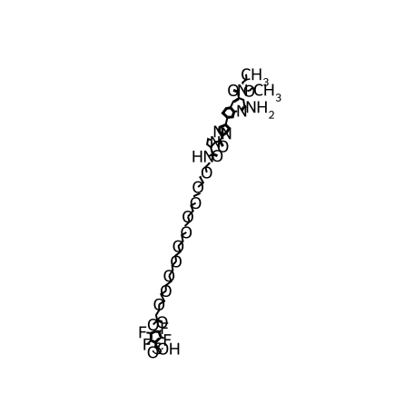 CCCN(OCC)C(=O)C1=Cc2ccc(-c3cnc(C(=O)N4CCC4C(=O)NCCOCCOCCOCCOCCOCCOCCOCCOCCOCCOCCC(=O)Oc4c(F)c(F)c(S(=O)O)c(F)c4F)nc3)cc2N=C(N)C1